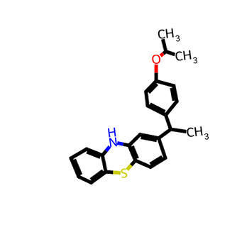 CC(C)Oc1ccc(C(C)c2ccc3c(c2)Nc2ccccc2S3)cc1